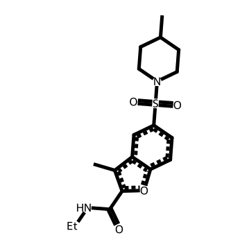 CCNC(=O)c1oc2ccc(S(=O)(=O)N3CCC(C)CC3)cc2c1C